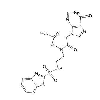 O=C(O)ON(CCNS(=O)(=O)c1nc2ccccc2s1)C(=O)Cn1cnc2c(=O)[nH]cnc21